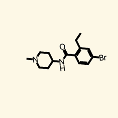 CCc1cc(Br)ccc1C(=O)NC1CCN(C)CC1